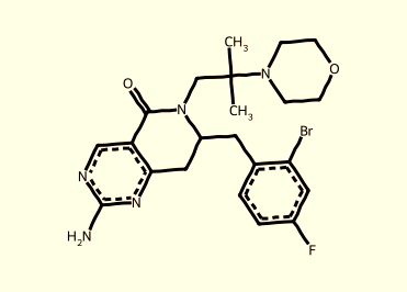 CC(C)(CN1C(=O)c2cnc(N)nc2CC1Cc1ccc(F)cc1Br)N1CCOCC1